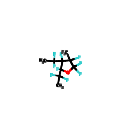 CC(F)(F)C1(F)OC(F)(F)C(F)(C(F)(F)F)C1(F)C(C)(F)F